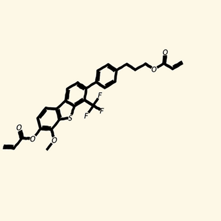 C=CC(=O)OCCCc1ccc(-c2ccc3c(sc4c(OC)c(OC(=O)C=C)ccc43)c2C(F)(F)F)cc1